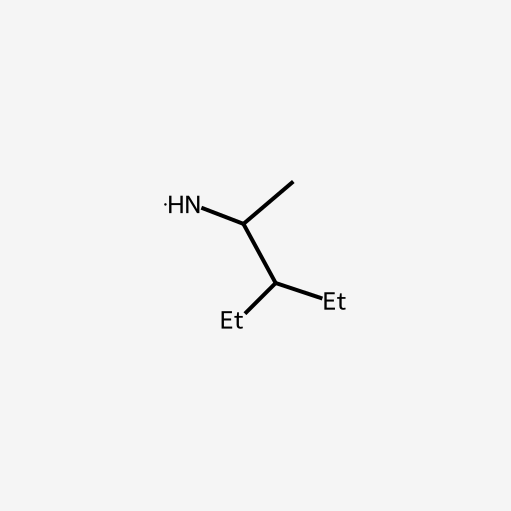 CCC(CC)C(C)[NH]